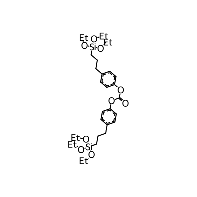 CCO[Si](CCCc1ccc(OC(=O)Oc2ccc(CCC[Si](OCC)(OCC)OCC)cc2)cc1)(OCC)OCC